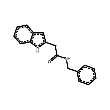 O=C([CH]c1cc2ccccc2[nH]1)NCc1ccccc1